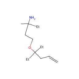 C=CCC(CC)(CC)OCCC(C)(N)CC